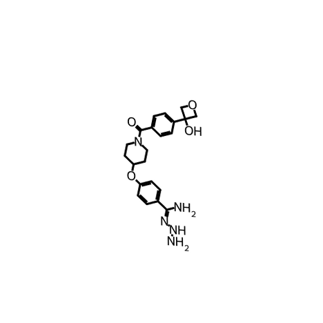 NN/N=C(\N)c1ccc(OC2CCN(C(=O)c3ccc(C4(O)COC4)cc3)CC2)cc1